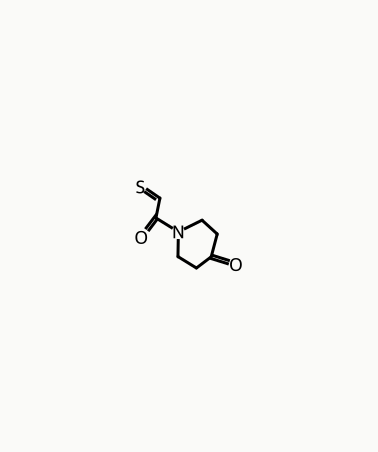 O=C1CCN(C(=O)C=S)CC1